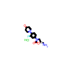 Cl.NC[C@H]1CN(c2ccc(N3C=CC(=O)CC3)c(F)c2)C(=O)O1